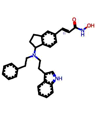 O=C(/C=C/c1ccc2c(c1)CCC2N(CCc1ccccc1)CCc1c[nH]c2ccccc12)NO